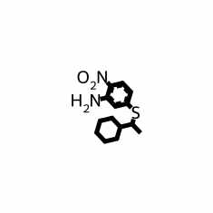 CC(Sc1ccc([N+](=O)[O-])c(N)c1)C1CCCCC1